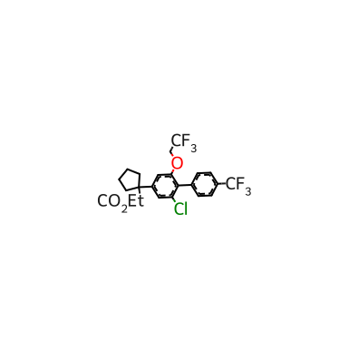 CCOC(=O)C1(c2cc(Cl)c(-c3ccc(C(F)(F)F)cc3)c(OCC(F)(F)F)c2)CCCC1